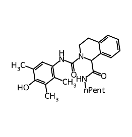 CCCCCNC(=O)C1c2ccccc2CCN1C(=O)Nc1cc(C)c(O)c(C)c1C